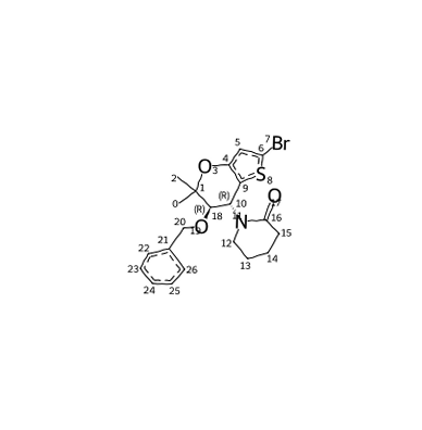 CC1(C)Oc2cc(Br)sc2[C@H](N2CCCCC2=O)[C@H]1OCc1ccccc1